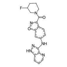 O=C(c1noc2cc(Nc3n[nH]c4cccnc34)ccc12)N1CCCC(F)C1